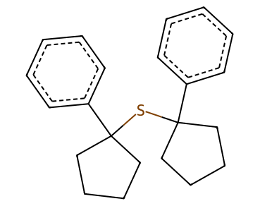 c1ccc(C2(SC3(c4ccccc4)CCCC3)CCCC2)cc1